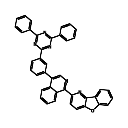 c1ccc(-c2nc(-c3ccccc3)nc(-c3cccc(-c4cnc(-c5ccc6oc7ccccc7c6n5)c5ccccc45)c3)n2)cc1